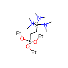 CCO[Si](CC[Si](N(C)C)(N(C)C)N(C)C)(OCC)OCC